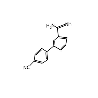 N#Cc1ccc(-c2[c]ccc(C(=N)N)c2)cc1